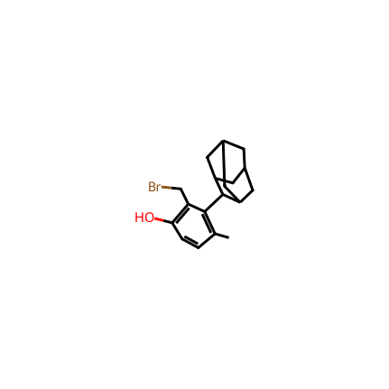 Cc1ccc(O)c(CBr)c1C1C2CC3CC(C2)CC1C3